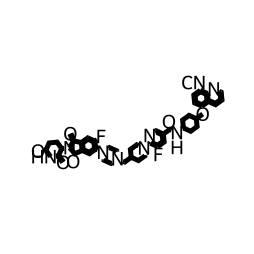 N#Cc1ccc(OC2CCC(NC(=O)c3cnc(N4CCC(CN5CCN(c6cc7c(cc6F)C(=O)N(C6CCC(=O)NC6=O)C7=O)CC5)CC4)c(F)c3)CC2)c2cccnc12